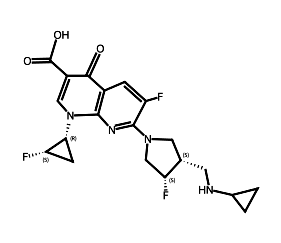 O=C(O)c1cn([C@@H]2C[C@@H]2F)c2nc(N3C[C@H](CNC4CC4)[C@H](F)C3)c(F)cc2c1=O